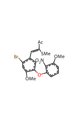 COc1cc(Br)c(/C=C(\SC)C(C)=O)cc1Oc1cccc(OC)c1[N+](=O)[O-]